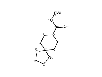 CCCCOC(=O)C1CCC2(CC1)OCCO2